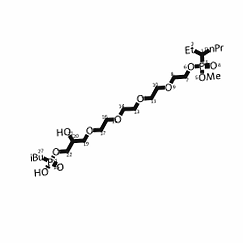 CCCC(CC)P(=O)(OC)OCCOCCOCCOCCOCC(O)COP(=O)(O)C(C)CC